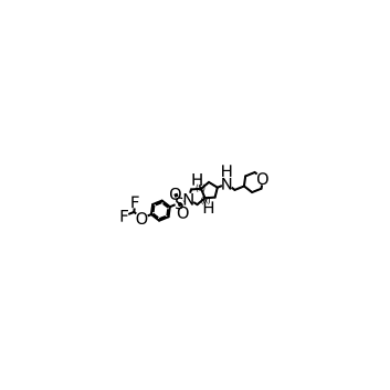 O=S(=O)(c1ccc(OC(F)F)cc1)N1C[C@H]2CC(NCC3CCOCC3)C[C@H]2C1